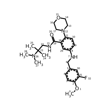 COc1ccc(CNc2ccc(N3CCOCC3)c(C(=O)NCC(C)(C)N(C)C)c2)cc1F